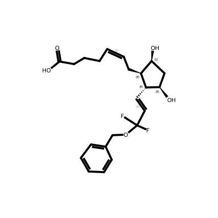 O=C(O)CCC/C=C\C[C@@H]1[C@@H](/C=C/C(F)(F)OCc2ccccc2)[C@H](O)C[C@@H]1O